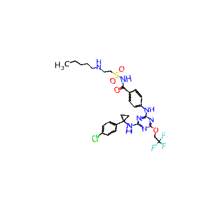 CCCCCNCCS(=O)(=O)NC(=O)c1ccc(Nc2nc(NC3(c4ccc(Cl)cc4)CC3)nc(OCC(F)(F)F)n2)cc1